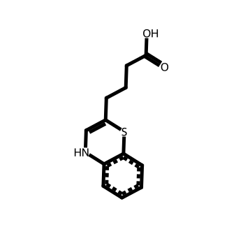 O=C(O)CCCC1=CNc2ccccc2S1